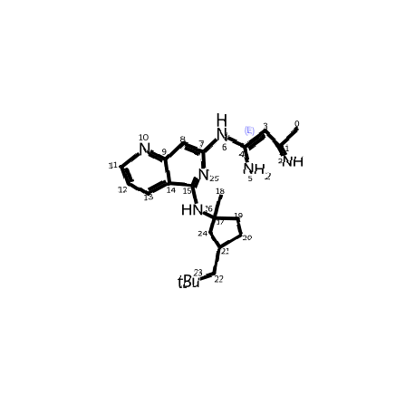 CC(=N)/C=C(\N)Nc1cc2ncccc2c(NC2(C)CCC(CC(C)(C)C)C2)n1